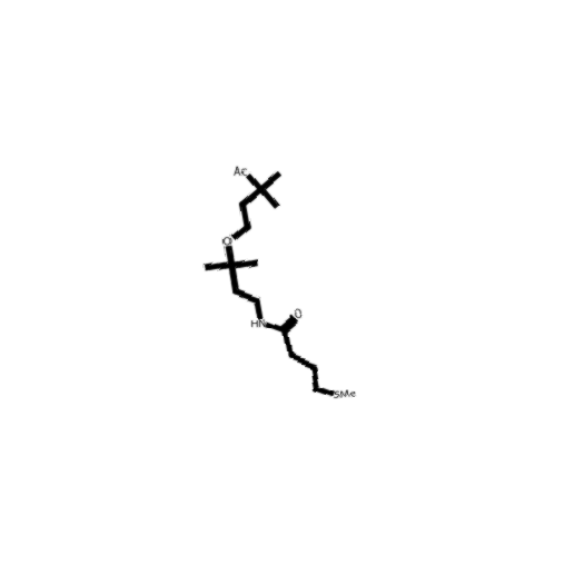 CSCCCC(=O)NCCC(C)(C)OCCC(C)(C)C(C)=O